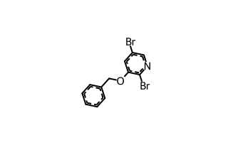 Brc1cnc(Br)c(OCc2ccccc2)c1